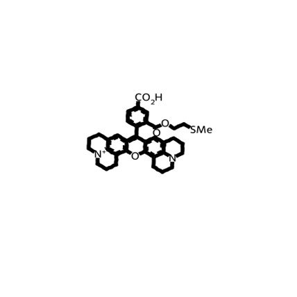 CSCCOC(=O)c1cc(C(=O)O)ccc1C1=c2cc3c4c(c2Oc2c1cc1c5c2CCCN5CCC1)CCC[N+]=4CCC3